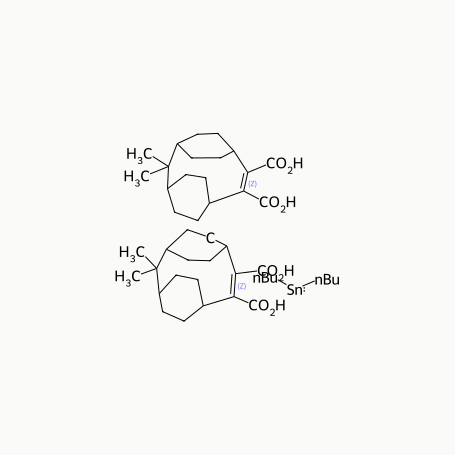 CC1(C)C2CCC(CC2)/C(C(=O)O)=C(/C(=O)O)C2CCC1CC2.CC1(C)C2CCC(CC2)/C(C(=O)O)=C(/C(=O)O)C2CCC1CC2.CCC[CH2][Sn][CH2]CCC